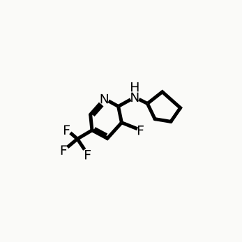 FC1C=C(C(F)(F)F)C=NC1NC1CCCC1